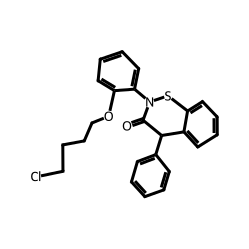 O=C1C(c2ccccc2)c2ccccc2SN1c1ccccc1OCCCCCl